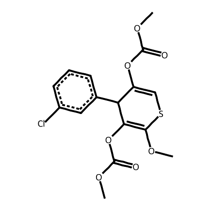 COC(=O)OC1=CSC(OC)=C(OC(=O)OC)C1c1cccc(Cl)c1